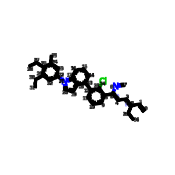 C=C/C(=C/C=C(\N=C)c1cccc(-c2cccc3c2ccn3-c2cc(C)c(CC)c(CC)c2)c1Cl)CC